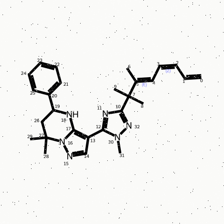 C=C/C=C\C=C(/C)C(C)(C)c1nc(-c2cnn3c2NC(c2ccccc2)CC3(C)C)n(C)n1